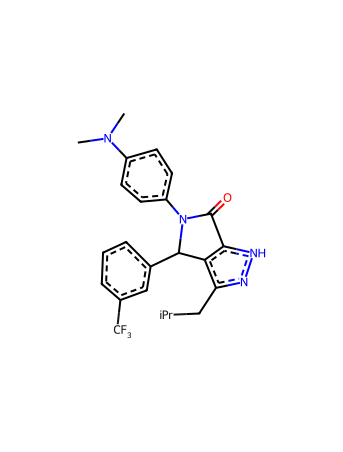 CC(C)Cc1n[nH]c2c1C(c1cccc(C(F)(F)F)c1)N(c1ccc(N(C)C)cc1)C2=O